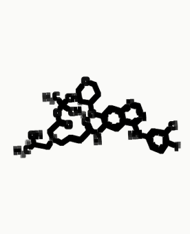 C[C@@H](O)CN(CC=CC(=O)Nc1cc2c(Nc3ccc(F)c(Cl)c3)ncnc2cc1OC1CCOCC1)CC(=O)OC(C)(C)C